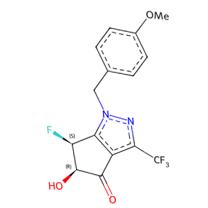 COc1ccc(Cn2nc(C(F)(F)F)c3c2[C@H](F)[C@H](O)C3=O)cc1